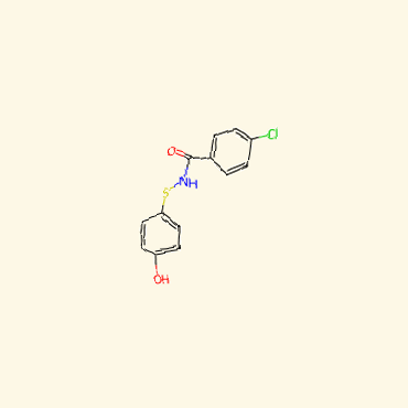 O=C(NSc1ccc(O)cc1)c1ccc(Cl)cc1